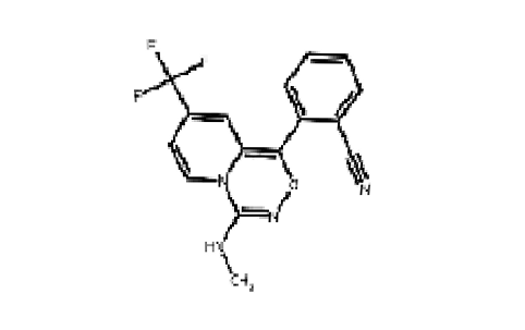 CNC1=NOC(c2ccccc2C#N)=C2C=C(C(F)(F)F)C=CN12